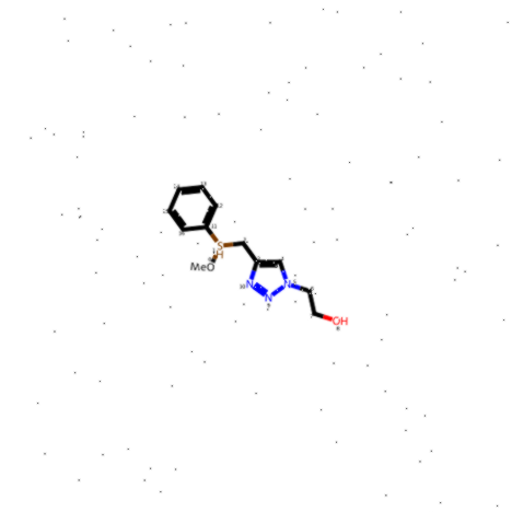 CO[SH](Cc1cn(CCO)nn1)c1ccccc1